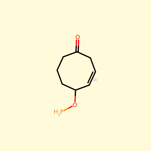 O=C1C/C=C\C(OP)CCC1